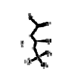 C[N+](C)(C)C[C@H](O)CC(=O)[O-].[K]